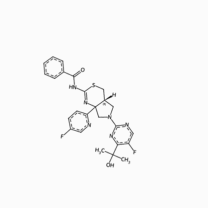 CC(C)(O)c1nc(N2C[C@H]3CSC(NC(=O)c4ccccc4)=NC3(c3ccc(F)cn3)C2)ncc1F